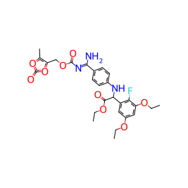 CCOC(=O)C(Nc1ccc(C(N)=NC(=O)OCc2oc(=O)oc2C)cc1)c1cc(OCC)cc(OCC)c1F